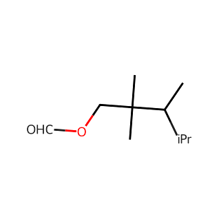 CC(C)C(C)C(C)(C)COC=O